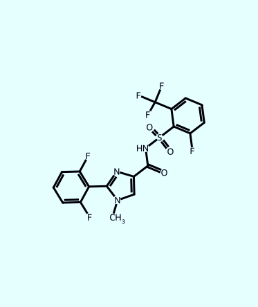 Cn1cc(C(=O)NS(=O)(=O)c2c(F)cccc2C(F)(F)F)nc1-c1c(F)cccc1F